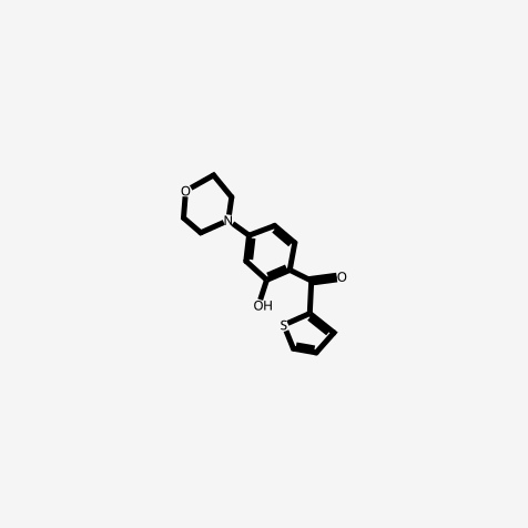 O=C(c1cccs1)c1ccc(N2CCOCC2)cc1O